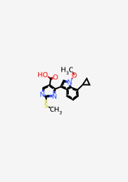 COn1cc(-c2nc(SC)ncc2C(=O)O)c2cccc(C3CC3)c21